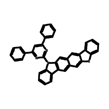 c1ccc(-c2cc(-c3ccccc3)nc(-n3c4ccccc4c4cc5cc6sc7ccccc7c6cc5cc43)n2)cc1